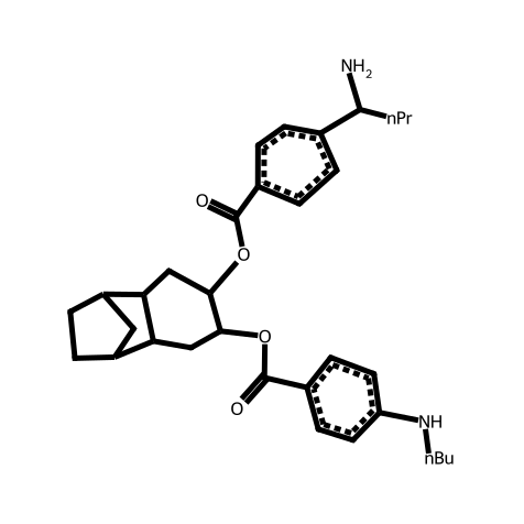 CCCCNc1ccc(C(=O)OC2CC3C4CCC(C4)C3CC2OC(=O)c2ccc(C(N)CCC)cc2)cc1